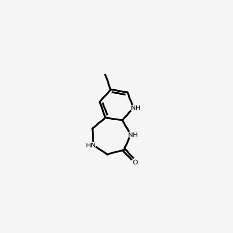 CC1=CNC2NC(=O)CNCC2=C1